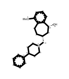 COc1cccc2c1CC[C@@H](CN1CCC(c3ccccc3)CC1)C[C@H]2O